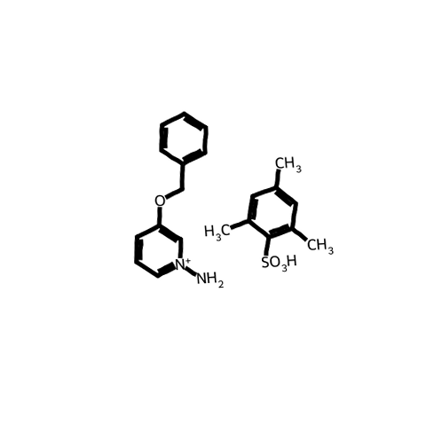 Cc1cc(C)c(S(=O)(=O)O)c(C)c1.N[n+]1cccc(OCc2ccccc2)c1